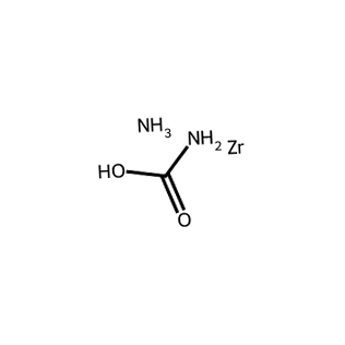 N.NC(=O)O.[Zr]